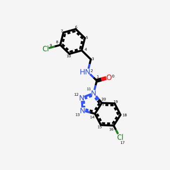 O=C(NCc1cccc(Cl)c1)n1nnc2cc(Cl)ccc21